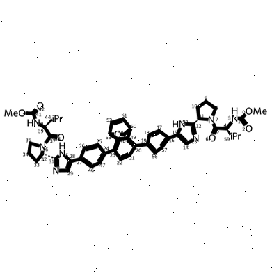 COC(=O)N[C@H](C(=O)N1CCC[C@H]1c1ncc(-c2ccc(-c3ccc(-c4ccc(-c5cnc([C@@H]6CCCN6C(=O)[C@@H](NC(=O)OC)C(C)C)[nH]5)cc4)c4c3C3C=CC4CC3)cc2)[nH]1)C(C)C